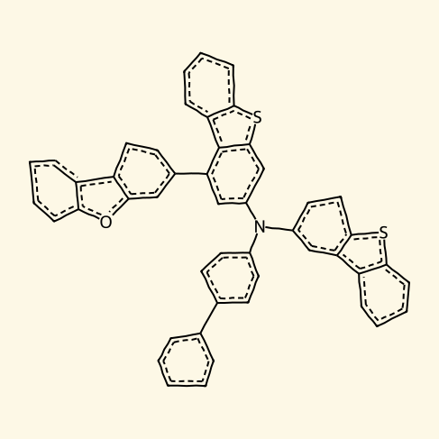 c1ccc(-c2ccc(N(c3cc(-c4ccc5c(c4)oc4ccccc45)c4c(c3)sc3ccccc34)c3ccc4sc5ccccc5c4c3)cc2)cc1